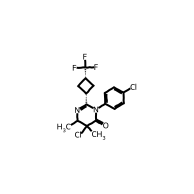 CC1N=C([C@H]2C[C@@H](C(F)(F)F)C2)N(c2ccc(Cl)cc2)C(=O)C1(C)Cl